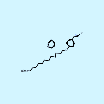 CCCCCCCCCCCCCCCCCCCCCCOc1ccc(/C=C/Br)cc1.c1ccncc1